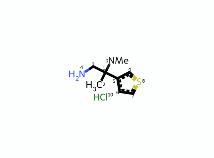 CNC(C)(CN)c1ccsc1.Cl